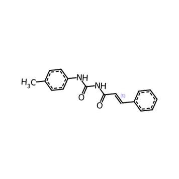 Cc1ccc(NC(=O)NC(=O)/C=C/c2ccccc2)cc1